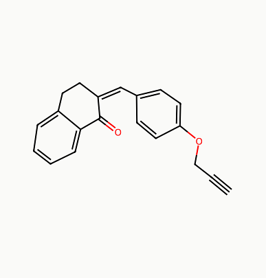 C#CCOc1ccc(C=C2CCc3ccccc3C2=O)cc1